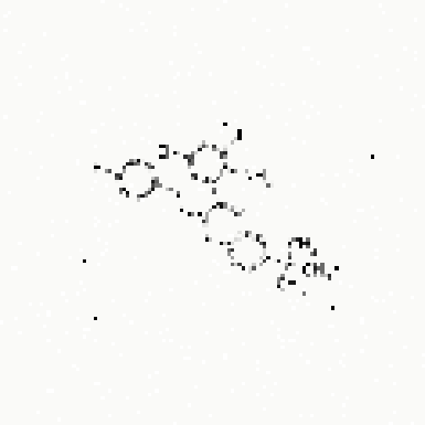 CC(C)(C)c1ccc(CN(CCc2ccc(F)cc2)C(=O)c2cc(Cl)cc(I)c2N)cc1